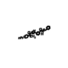 CCCN1CCC(N(C)C(=O)n2cnc(-c3cccc(C(=O)NOCc4ccccc4)c3)c2)CC1